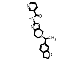 CC(c1ccc2c(c1)OCC2)N1CCc2nc(NC(=O)c3cccnc3)sc2C1